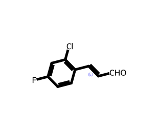 O=C/C=C/c1ccc(F)cc1Cl